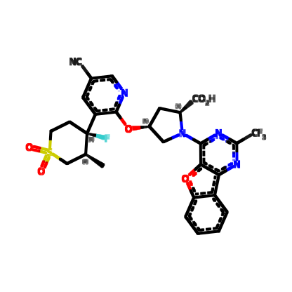 C[C@H]1CS(=O)(=O)CC[C@]1(F)c1cc(C#N)cnc1O[C@H]1C[C@@H](C(=O)O)N(c2nc(C(F)(F)F)nc3c2oc2ccccc23)C1